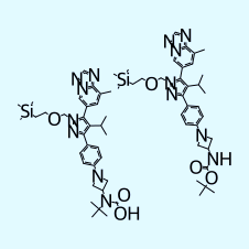 Cc1cc(-c2c(C(C)C)c(-c3ccc(N4CC(N(C(=O)O)C(C)(C)C)C4)cc3)nn2COCC[Si](C)(C)C)cn2ncnc12.Cc1cc(-c2c(C(C)C)c(-c3ccc(N4CC(NC(=O)OC(C)(C)C)C4)cc3)nn2COCC[Si](C)(C)C)cn2ncnc12